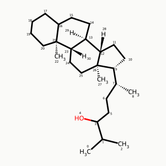 CC(C)C(O)CC[C@@H](C)[C@H]1CC[C@H]2[C@@H]3CCC4CCCC[C@]4(C)[C@H]3CC[C@]12C